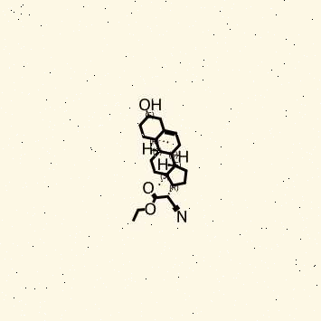 CCOC(=O)C(C#N)[C@H]1CC[C@H]2[C@@H]3CC=C4C[C@@H](O)CC[C@]4(C)[C@H]3CC[C@]12C